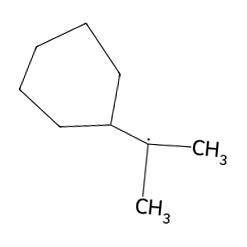 C[C](C)C1CCCCC1